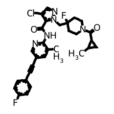 Cc1cc(C#Cc2ccc(F)cc2)cnc1NC(=O)c1c(Cl)cnn1CC1(F)CCN(C(=O)C2CC2C)CC1